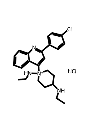 CCNC1CC[N+](NCC)(c2cc(-c3ccc(Cl)cc3)nc3ccccc23)CC1.Cl